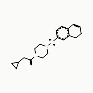 O=C(CC1CC1)N1CCN(S(=O)(=O)c2ccc3c(c2)CCC=C3)CC1